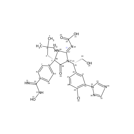 CC(C)(C)C[C@]1(c2ccc(C(=N)NO)cc2)N/C(=N\C(=O)O)N([C@H](CO)c2ccc(Cl)c(-n3cncn3)c2)C1=O